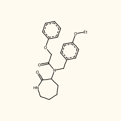 CCOc1ccc(CN(C(=O)COc2ccccc2)C2CCCCNC2=O)cc1